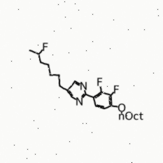 CCCCCCCCOc1ccc(-c2ncc(CCCCCC(C)F)cn2)c(F)c1F